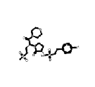 CS(=O)(=O)CC[C@@H](C(=O)N1CCOCC1)N1CC[C@H](NS(=O)(=O)CCc2ccc(Cl)cc2)C1=O